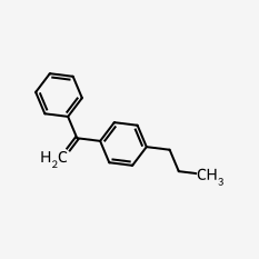 C=C(c1ccccc1)c1ccc(CCC)cc1